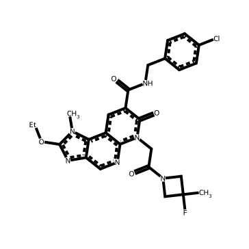 CCOc1nc2cnc3c(cc(C(=O)NCc4ccc(Cl)cc4)c(=O)n3CC(=O)N3CC(C)(F)C3)c2n1C